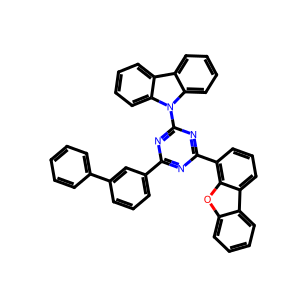 c1ccc(-c2cccc(-c3nc(-c4cccc5c4oc4ccccc45)nc(-n4c5ccccc5c5ccccc54)n3)c2)cc1